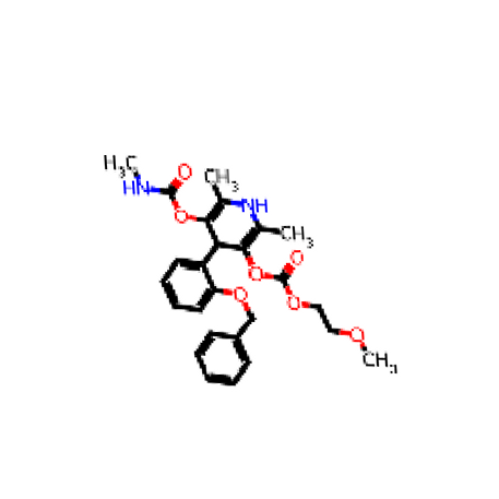 CNC(=O)OC1=C(C)NC(C)=C(OC(=O)OCCOC)C1c1ccccc1OCc1ccccc1